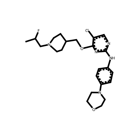 CC(F)CN1CCC(COc2nc(Nc3ccc(N4CCOCC4)cc3)ncc2Cl)CC1